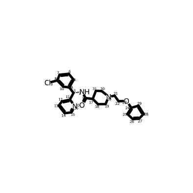 O=C(N[C@@H](c1cccc(Cl)c1)c1ccccn1)C1CCN(CCOc2ccccc2)CC1